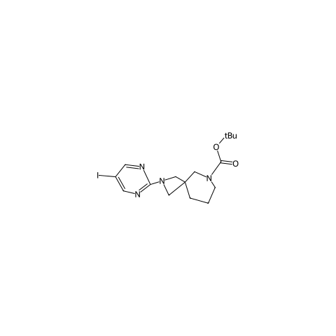 CC(C)(C)OC(=O)N1CCCC2(C1)CN(c1ncc(I)cn1)C2